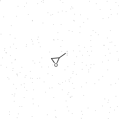 [C]C1CO1